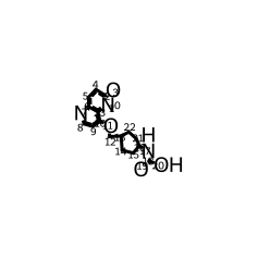 Cn1c(=O)ccc2nccc(OCC3CCC(NC(=O)O)CC3)c21